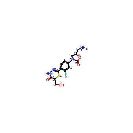 NCC1CN(c2ccc(C3=NNC(=O)C(CO)S3)c(F)c2)C(=O)O1